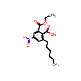 CCCCCCc1cc([N+](=O)[O-])cc(C(=O)OCC)c1C(=O)O